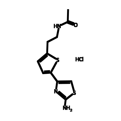 CC(=O)NCCc1ccc(-c2csc(N)n2)s1.Cl